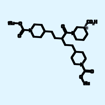 CC(C)(C)OC(=O)N1CCC(CCC(CCC2CCN(C(=O)OC(C)(C)C)CC2)C(=O)N2CCC[C@@H](C(=O)O)C2)CC1